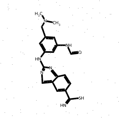 CN(C)Cc1cc(NC=O)cc(Nc2ncc3cc(C(=N)S)ccc3n2)c1